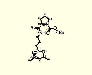 CC1O[Si]2(CCCNC(=O)[C@@H]3CCCN3C(=O)OC(C)(C)C)OC(C)C1O2